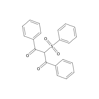 O=C(c1ccccc1)C(C(=O)c1ccccc1)S(=O)(=O)c1ccccc1